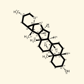 C[C@@H]1CO[C@]23O[C@H]4C[C@H]5[C@@H]6CC[C@@H]7C[C@H](O)CC[C@]7(C)[C@H]6CC[C@]5(C)[C@H]4[C@]2(C)C3C1